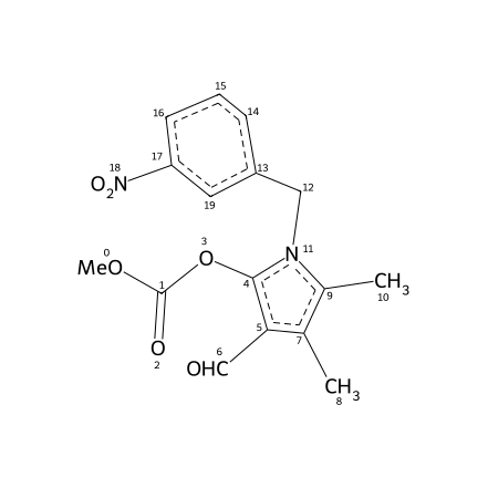 COC(=O)Oc1c(C=O)c(C)c(C)n1Cc1cccc([N+](=O)[O-])c1